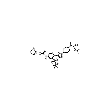 CC(C)OC(O)NC1CCC(c2ncc(-c3ccc(NC(=O)OC[C@@H]4CCCN4C)cc3S(=O)(=O)NC(C)(C)C)s2)CC1